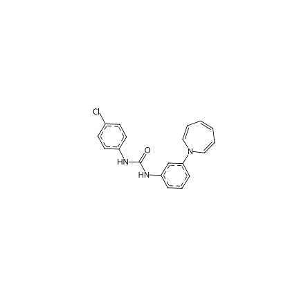 O=C(Nc1ccc(Cl)cc1)Nc1cccc(N2C=CC=CC=C2)c1